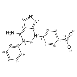 NC1=C2C=NN=C2N(c2ccc([N+](=O)[O-])cc2)CN1c1ccccc1